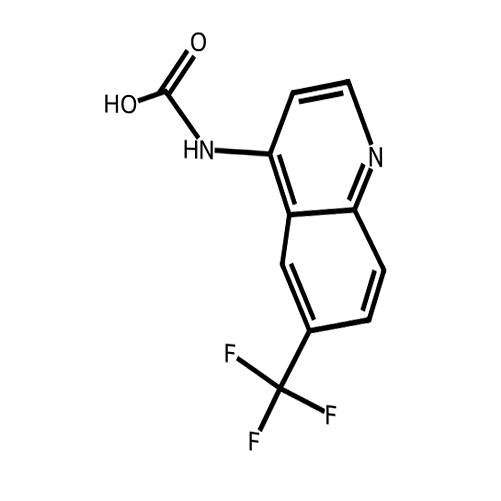 O=C(O)Nc1ccnc2ccc(C(F)(F)F)cc12